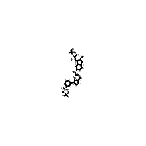 CC(C)(C)NS(=O)(=O)c1cccc(-c2ccc3cnc(Nc4ccc5c(c4)C(NC(=O)OC(C)(C)C)C(O)C5)nn23)c1